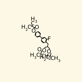 C=C(C)COCC(COC(=O)C(=C)C)Cc1ccc(-c2ccc(OC(=O)C(=C)C)cc2)cc1F